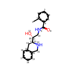 Cc1ccccc1C(=O)NC[C@@H](O)[C@@H]1Cc2ccccc2CN1